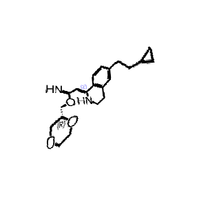 N=C(/C=C1\NCCc2cc(CCC3CC3)ccc21)OC[C@H]1COCCO1